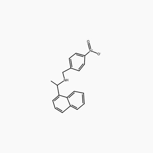 CC(NCc1ccc([N+](=O)[O-])cc1)c1cccc2ccccc12